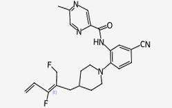 C=C/C(F)=C(\CF)CC1CCN(c2ccc(C#N)cc2NC(=O)c2cnc(C)cn2)CC1